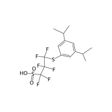 CC(C)c1cc(SC(F)(F)C(F)(F)C(F)(F)S(=O)(=O)O)cc(C(C)C)c1